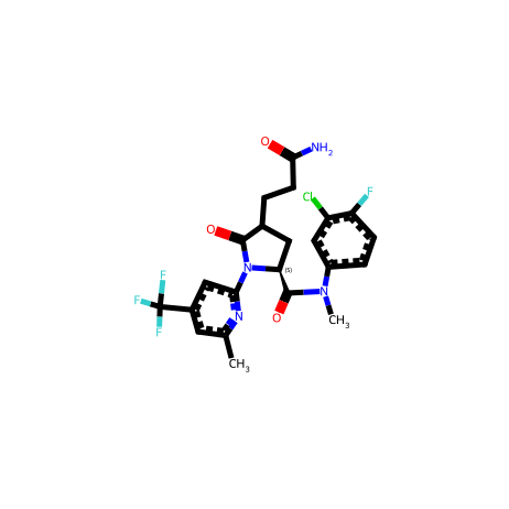 Cc1cc(C(F)(F)F)cc(N2C(=O)C(CCC(N)=O)C[C@H]2C(=O)N(C)c2ccc(F)c(Cl)c2)n1